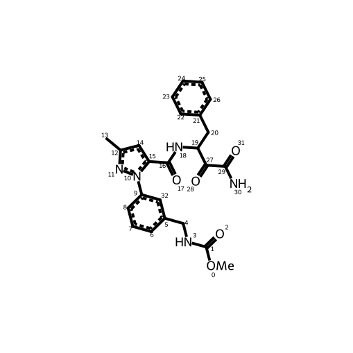 COC(=O)NCc1cccc(-n2nc(C)cc2C(=O)NC(Cc2ccccc2)C(=O)C(N)=O)c1